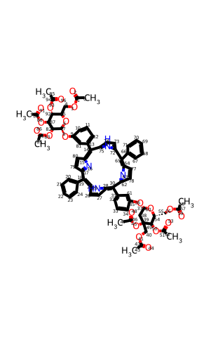 CC(=O)OCC1O[C@@H](Oc2cccc(-c3c4nc(c(-c5ccccc5)c5ccc([nH]5)c(-c5cccc(OC6CC(COC(C)=O)(OC(C)=O)C(OC(C)=O)[C@@H](COC(C)=O)O6)c5)c5nc(c(-c6ccccc6)c6ccc3[nH]6)C=C5)C=C4)c2)C(OC(C)=O)C(OC(C)=O)[C@@H]1OC(C)=O